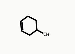 [CH]C1CC=CCC1